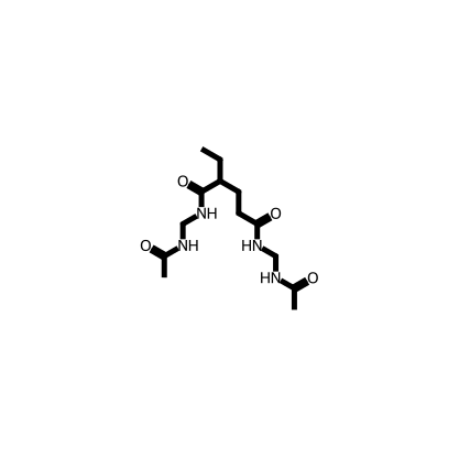 CCC(CCC(=O)NCNC(C)=O)C(=O)NCNC(C)=O